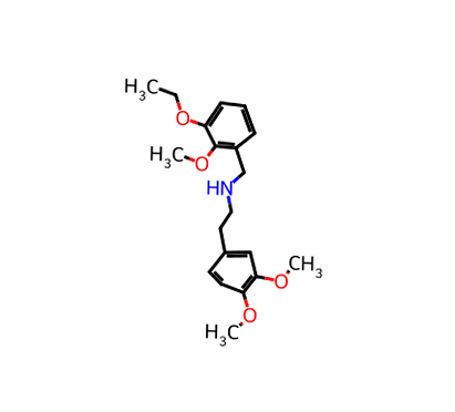 CCOc1cccc(CNCCc2ccc(OC)c(OC)c2)c1OC